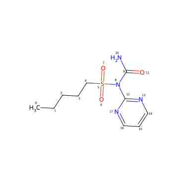 CCCCCS(=O)(=O)N(C(N)=O)c1ncccn1